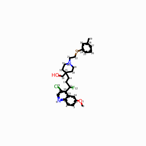 COc1ccc2ncc(Cl)c(C(F)CCC3(CO)CCN(CCSc4cccc(C)c4)CC3)c2c1